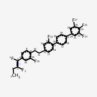 CC/C(F)=C(\F)c1ccc(CCc2ccc(-c3ccc(-c4cc(F)c(F)c(F)c4)cc3)c(F)c2)c(F)c1